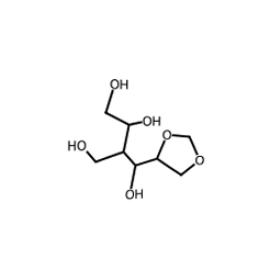 OCC(O)C(CO)C(O)C1COCO1